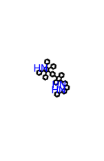 C1=CC(c2ccccc2)Nc2c1ccc1c2NC(c2c3ccccc3c(-c3ccc(C4=C(c5ccccc5)C(c5ccccc5)NC(c5ccccc5)=C4c4ccccc4)cc3)c3ccccc23)C=C1